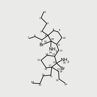 CCCCC1(CCC)CCCC(CC2CCCC(CCC)(CCCC)C2(N)Br)C1(N)Br